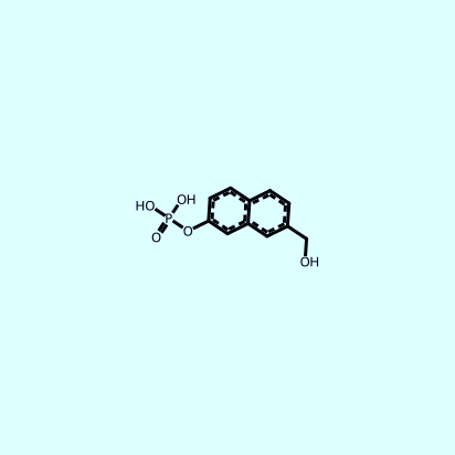 O=P(O)(O)Oc1ccc2ccc(CO)cc2c1